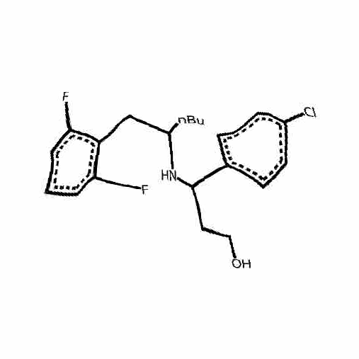 CCCCC(Cc1c(F)cccc1F)NC(CCO)c1ccc(Cl)cc1